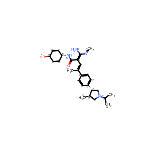 C=N/C(N)=C(\C=C(/C)c1ccc([C@@H]2CN(C(C)C)C[C@H]2C)cc1)C(=O)N[C@H]1CC[C@H](O)CC1